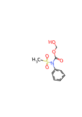 CS(=O)(=O)N(C(=O)OCO)c1ccccc1